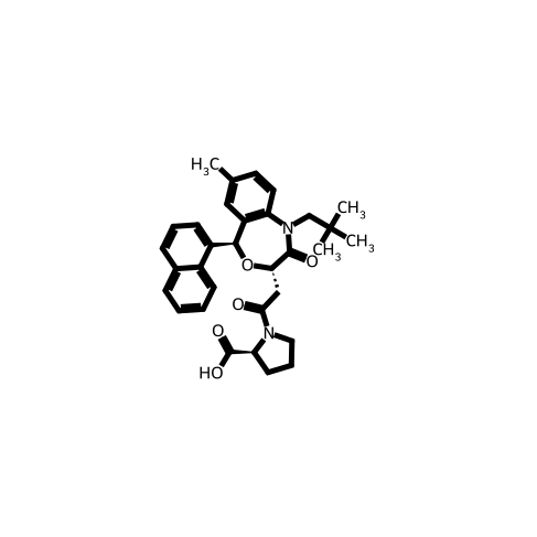 Cc1ccc2c(c1)[C@H](c1cccc3ccccc13)O[C@@H](CC(=O)N1CCC[C@H]1C(=O)O)C(=O)N2CC(C)(C)C